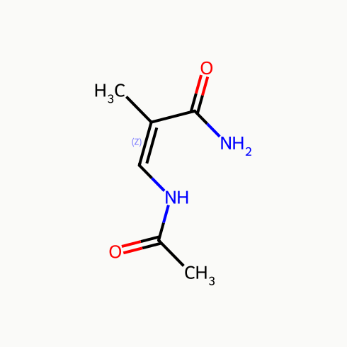 CC(=O)N/C=C(/C)C(N)=O